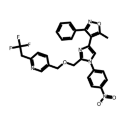 Cc1onc(-c2ccccc2)c1-c1cn(-c2ccc([N+](=O)[O-])cc2)c(COCc2ccc(CC(F)(F)F)nc2)n1